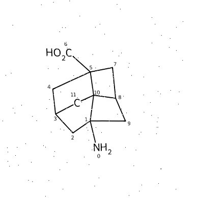 NC12CC3CC4(C(=O)O)CC(C1)C24C3